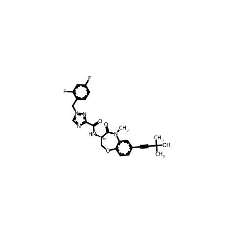 CN1C(=O)[C@H](NC(=O)c2ncn(Cc3ccc(F)cc3F)n2)COc2ccc(C#CC(C)(C)O)cc21